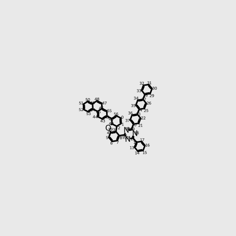 C1=CC2c3c(cccc3-c3nc(-c4ccccc4)nc(-c4ccc(-c5ccc(-c6ccccc6)cc5)cc4)n3)OC2C(c2ccc3c(ccc4ccccc43)c2)=C1